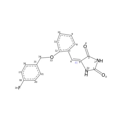 O=C1NC(=O)/C(=C\c2ccccc2OCc2ccc(F)cc2)N1